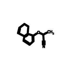 CC(C#N)Oc1cccc2c1CCC=C2